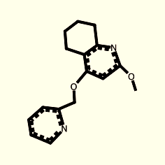 COc1cc(OCc2ccccn2)c2c(n1)CCCC2